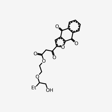 CCC(CO)OCCOC(=O)CC(=O)c1cc2c(o1)C(=O)c1ccccc1C2=O